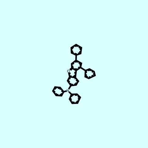 c1ccc(-c2cc(-c3ccccc3)c3c(c2)oc2cc(N(c4ccccc4)c4ccccc4)ccc23)cc1